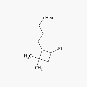 CCCCCCCCCC1C(CC)CC1(C)C